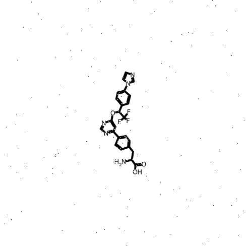 NC(Cc1ccc(-c2cc(OC(c3ccc(-n4ccnc4)cc3)C(F)(F)F)ncn2)cc1)C(=O)O